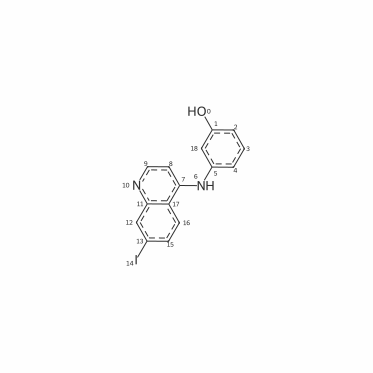 Oc1cccc(Nc2ccnc3cc(I)ccc23)c1